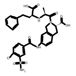 C[C@H](N[C@@H](CCc1ccccc1)C(=O)O)C(=O)N1Cc2cc(NC(=O)c3ccc(Cl)c(S(N)(=O)=O)c3)ccc2C[C@H]1C(=O)O